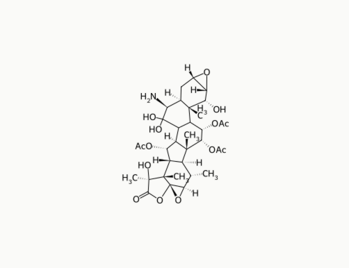 CC(=O)O[C@H]1[C@@H]2[C@H]([C@H](C)[C@H]3O[C@]34OC(=O)[C@@](C)(O)[C@]24C)[C@]2(C)[C@@H]1C1C([C@H](OC(C)=O)[C@@H]2OC(C)=O)[C@]2(C)[C@H](C[C@@H]3O[C@@H]3[C@@H]2O)[C@H](N)C1(O)O